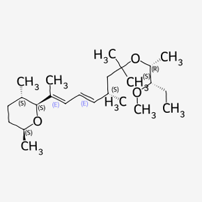 CC[C@H](OC)[C@@H](C)OC(C)(C)C[C@H](C)/C=C/C=C(\C)[C@H]1O[C@@H](C)CC[C@@H]1C